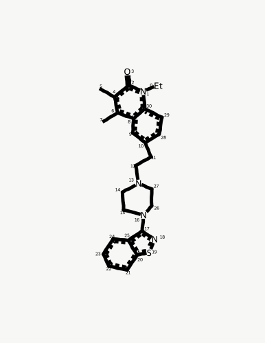 CCn1c(=O)c(C)c(C)c2cc(CCN3CCN(c4nsc5ccccc45)CC3)ccc21